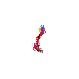 Cc1ncsc1-c1ccc(CNC(=O)[C@@H]2CCCN2C(=O)C(NC(=O)COCCCCOc2ccc(-c3ccc(N4C(=S)N(c5cnc(C#N)c(C(F)(F)F)c5)C(=O)C4(C)C)cc3)cc2)C(C)(C)C)cc1